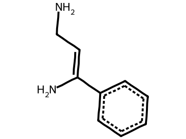 NCC=C(N)c1ccccc1